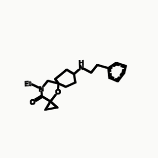 CCN1CC2(CCC(NCCc3ccccc3)CC2)OC2(CC2)C1=O